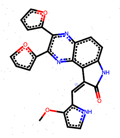 COc1cc[nH]c1/C=C1\C(=O)Nc2ccc3nc(-c4ccco4)c(-c4ccco4)nc3c21